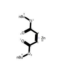 CCCCOC(=O)/C=C\C(=O)OCCCC.[Zn]